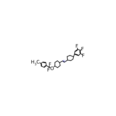 Cc1ccc(C(F)(F)OC2CCC(/C=C/C3CCC(c4cc(F)c(F)c(F)c4)CC3)CC2)cc1